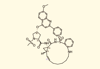 COc1ccc2c(O[C@@H]3C[C@@H](C(=O)N[C@@]45C[C@H]4/C=C\CCCCCNc4ccccc4S(=O)(=O)NC5=O)N(S(C)(=O)=O)C3)cc(-c3ccccc3)nc2c1